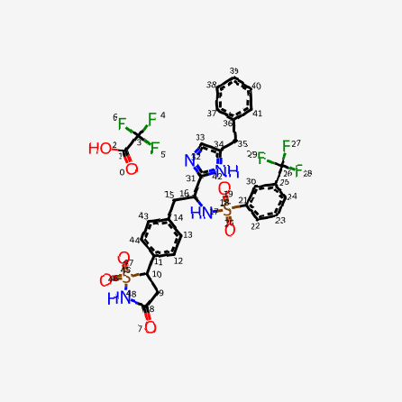 O=C(O)C(F)(F)F.O=C1CC(c2ccc(CC(NS(=O)(=O)c3cccc(C(F)(F)F)c3)c3ncc(Cc4ccccc4)[nH]3)cc2)S(=O)(=O)N1